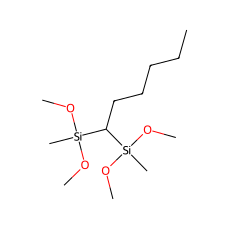 CCCCCC([Si](C)(OC)OC)[Si](C)(OC)OC